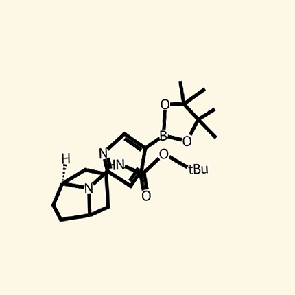 CC(C)(C)OC(=O)N[C@H]1CC2CC[C@@H](C1)N2c1ccc(B2OC(C)(C)C(C)(C)O2)cn1